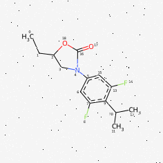 CCC1CN(c2cc(F)c(C(C)C)c(F)c2)C(=O)O1